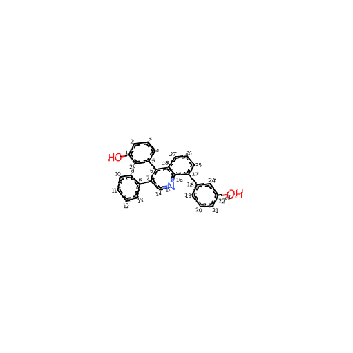 Oc1cccc(-c2c(-c3ccccc3)cnc3c(-c4cccc(O)c4)cccc23)c1